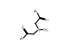 CC(C)C(=O)CN(C)CC(=O)C(C)C